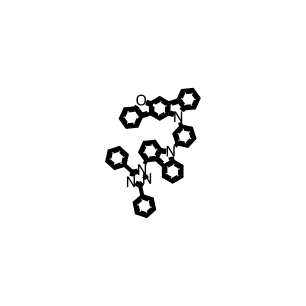 c1ccc(-c2nc(-c3ccccc3)n(-c3cccc4c3c3ccccc3n4-c3cccc(-n4c5ccccc5c5cc6oc7ccccc7c6cc54)c3)n2)cc1